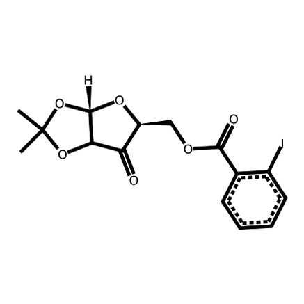 CC1(C)OC2C(=O)[C@H](COC(=O)c3ccccc3I)O[C@H]2O1